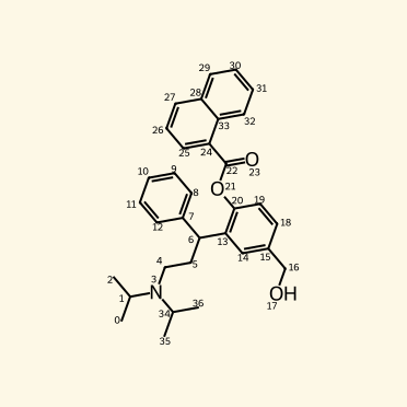 CC(C)N(CCC(c1ccccc1)c1cc(CO)ccc1OC(=O)c1cccc2ccccc12)C(C)C